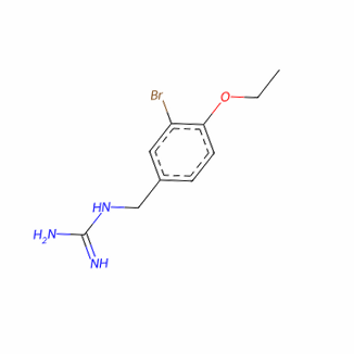 CCOc1ccc(CNC(=N)N)cc1Br